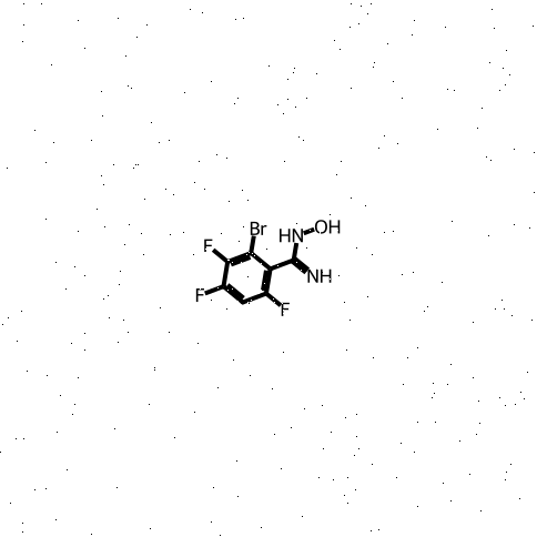 N=C(NO)c1c(F)cc(F)c(F)c1Br